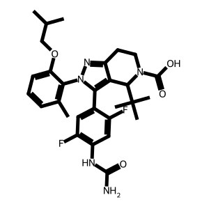 Cc1cccc(OCC(C)C)c1-n1nc2c(c1-c1cc(F)c(NC(N)=O)cc1F)C(C(C)(C)C)N(C(=O)O)CC2